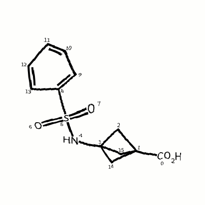 O=C(O)C12CC(NS(=O)(=O)c3ccccc3)(C1)C2